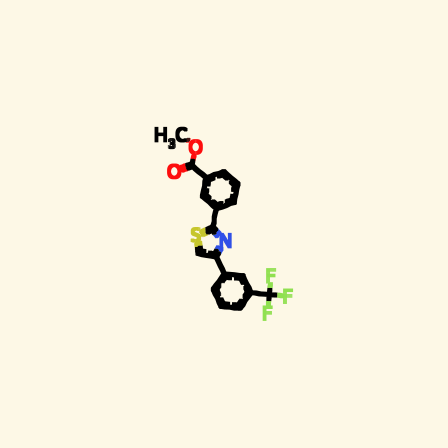 COC(=O)c1cccc(-c2nc(-c3cccc(C(F)(F)F)c3)cs2)c1